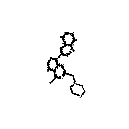 Clc1nc(CN2CCOCC2)cc2c(-c3cnc4ccccc4c3)cccc12